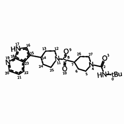 CC(C)(C)NC(=O)N1CCC(S(=O)(=O)N2CCC(c3c[nH]c4ncccc34)CC2)CC1